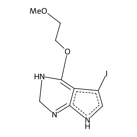 COCCOC1=c2c(I)c[nH]c2=NCN1